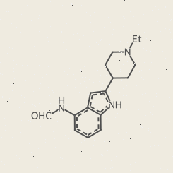 CCN1CCC(c2cc3c(NC=O)cccc3[nH]2)CC1